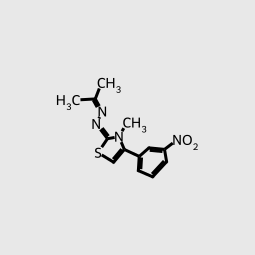 CC(C)=NN=c1scc(-c2cccc([N+](=O)[O-])c2)n1C